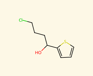 OC(CCCCl)c1cccs1